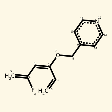 C=C/C(=C\C(=C)F)OCc1ccncc1